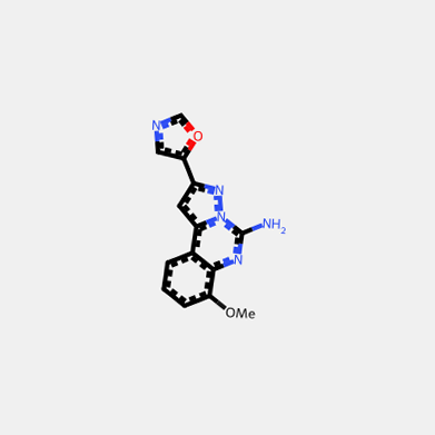 COc1cccc2c1nc(N)n1nc(-c3cnco3)cc21